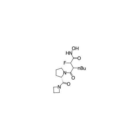 CCCCC(C(=O)N1CCC[C@H]1C(=O)N1CCC1)C(F)C(=O)NO